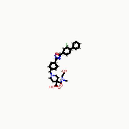 CN(CCO)C(=O)C1(C(=O)O)CCN(Cc2ccc(-c3noc(-c4ccc(-c5ccccc5)c(F)c4)n3)cc2)CC1